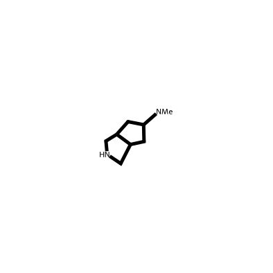 CNC1CC2CNCC2C1